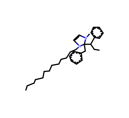 CCCCCCCCCCCCCN1C=CN(C)C1(Cc1ccccc1)C(CC)c1ccccc1